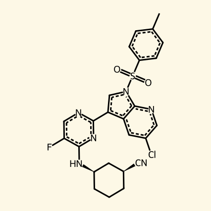 Cc1ccc(S(=O)(=O)n2cc(-c3ncc(F)c(N[C@@H]4CCC[C@H](C#N)C4)n3)c3cc(Cl)cnc32)cc1